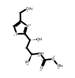 CC(=O)OCc1csc([C@H](O)C[C@@H](NC(=O)OC(C)(C)C)C(C)C)n1